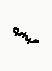 CC(C)(C)CC(C)(C)OOC(C)(C)OOC(C)(C)CC(C)(C)C